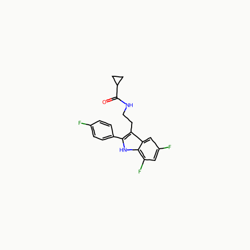 O=C(NCCc1c(-c2ccc(F)cc2)[nH]c2c(F)cc(F)cc12)C1CC1